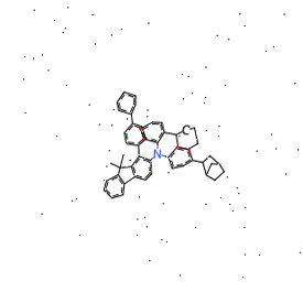 CC1(C)c2ccccc2-c2ccc(N(c3ccc(C4CC5CCC4C5)cc3)c3ccccc3C3CCCCC3)c(-c3ccc(-c4ccccc4)cc3)c21